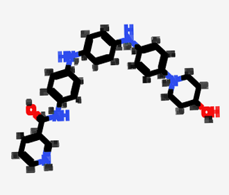 O=C(Nc1ccc(Nc2ccc(Nc3ccc(N4CCC(O)CC4)cc3)cc2)cc1)c1cccnc1